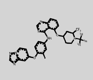 [2H]C([2H])([2H])N1CCC(Oc2cccc3ncnc(Nc4ccc(Oc5ccn6ncnc6c5)c(C)c4)c23)CC1C(F)(F)F